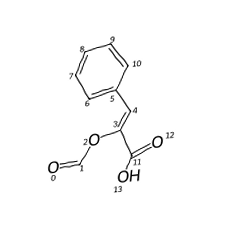 O=COC(=Cc1ccccc1)C(=O)O